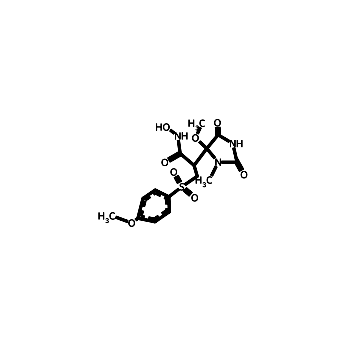 COc1ccc(S(=O)(=O)CC(C(=O)NO)C2(OC)C(=O)NC(=O)N2C)cc1